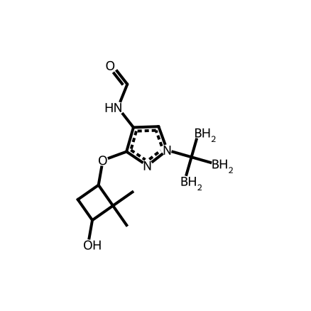 BC(B)(B)n1cc(NC=O)c(OC2CC(O)C2(C)C)n1